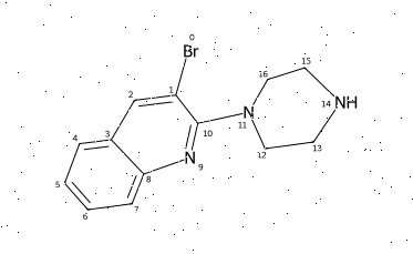 Brc1cc2ccccc2nc1N1CCNCC1